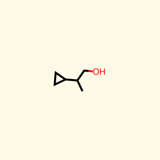 CC(CO)C1CC1